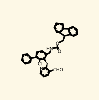 O=Cc1cccnc1Sc1c(CNC(=O)OCC2c3ccccc3-c3ccccc32)ccc(-c2ccccc2)c1Cl